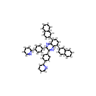 c1ccc(-c2ccc(-c3nc4c(-c5ccc6ccccc6c5)ccc(-c5ccc6ccccc6c5)c4nc3-c3ccc(-c4ccccn4)cc3)cc2)nc1